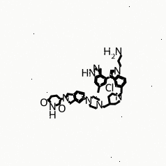 Cc1cc2[nH]ncc2c(-c2cn(CCCN)c3ccc(CN4CCC(CN5CCN(c6ccc7c(c6)CN(C6CCC(=O)NC6=O)C7)CC5)CC4)cc23)c1Cl